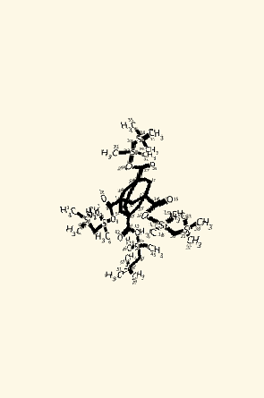 C[Si](C)(C)C[Si](C)(C)OC(=O)C12CC3(C(=O)O[Si](C)(C)C[Si](C)(C)C)CC(C(=O)O[Si](C)(C)C[Si](C)(C)C)(C1)CC(C(=O)O[Si](C)(C)C[Si](C)(C)C)(C2)C3